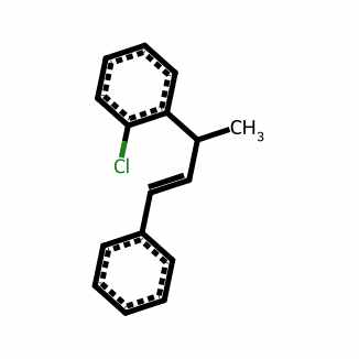 CC(C=Cc1ccccc1)c1ccccc1Cl